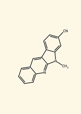 Cn1c2cc(C#N)ccc2c2cc3ccccc3nc21